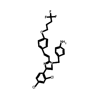 Nc1ccc(Cn2cc(-c3ccc(Cl)cc3Cl)nc2C=Cc2ccc(OCCCC(F)(F)F)cc2)cc1